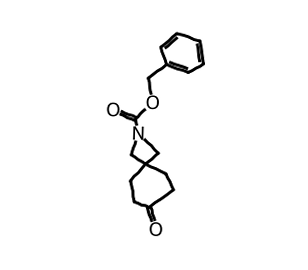 O=C1CCC2(CC1)CN(C(=O)OCc1ccccc1)C2